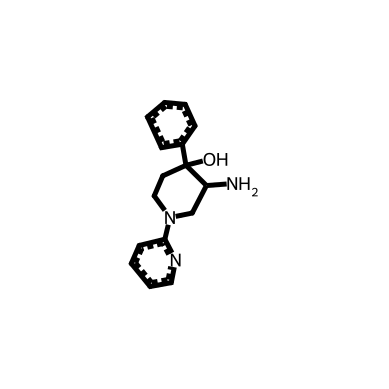 NC1CN(c2ccccn2)CCC1(O)c1ccccc1